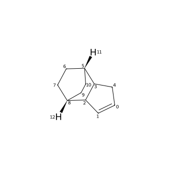 C1=CC2C(C1)[C@H]1CC[C@@H]2CC1